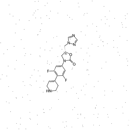 O=C1O[C@@H](Cn2cncn2)CN1c1cc(F)c(C2=CCNCC2)c(F)c1